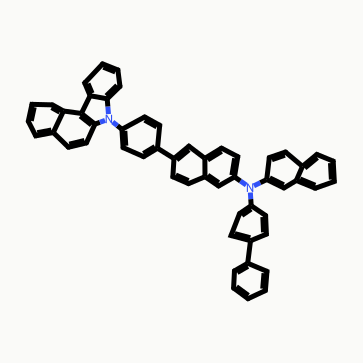 c1ccc(-c2ccc(N(c3ccc4ccccc4c3)c3ccc4cc(-c5ccc(-n6c7ccccc7c7c8ccccc8ccc76)cc5)ccc4c3)cc2)cc1